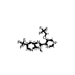 Cn1c(-c2ncncc2OCC(F)(F)F)nc2cc(C(F)(F)F)cnc21